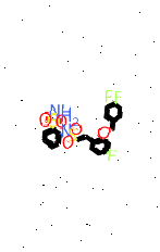 NS(=O)(=O)c1ccccc1NS(=O)(=O)CCc1ccc(F)cc1OCC1CCC(F)(F)CC1